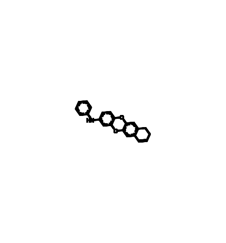 C1=Cc2cc3c(cc2CC1)Oc1ccc(Nc2ccccc2)cc1O3